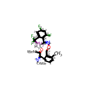 CNC(=O)/C(=N/OC)c1cccc(C)c1CO/N=C(\C)c1c(F)cc(F)cc1C(F)(F)P